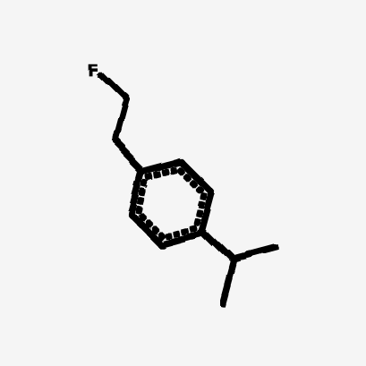 CC(C)c1ccc(CCF)cc1